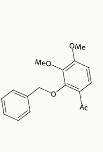 COc1ccc(C(C)=O)c(OCc2ccccc2)c1OC